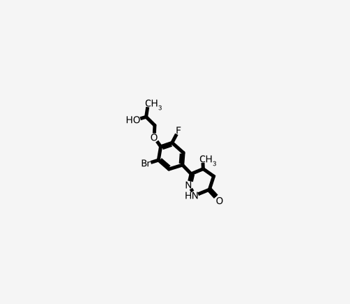 CC(O)COc1c(F)cc(C2=NNC(=O)CC2C)cc1Br